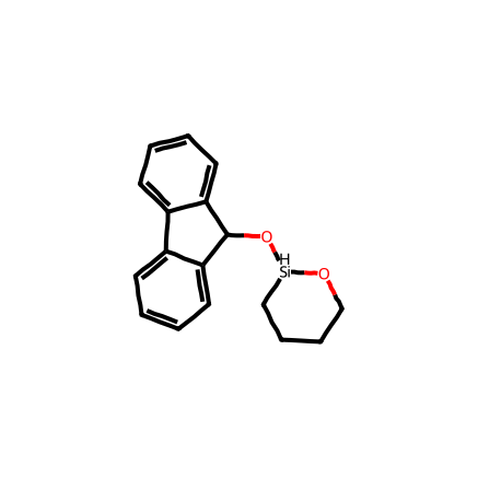 c1ccc2c(c1)-c1ccccc1C2O[SiH]1CCCCO1